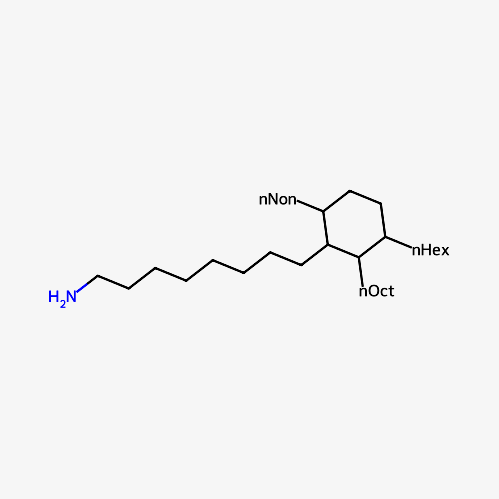 CCCCCCCCCC1CCC(CCCCCC)C(CCCCCCCC)C1CCCCCCCCN